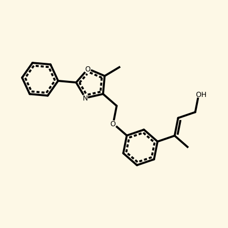 CC(=CCO)c1cccc(OCc2nc(-c3ccccc3)oc2C)c1